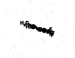 CCCCC[SiH]1CCC(CCC2CCC(c3ccc(-c4ccc(OC(F)(F)F)c(F)c4)cc3)CC2)CC1